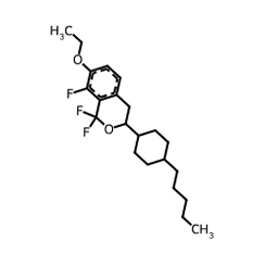 CCCCCC1CCC(C2Cc3ccc(OCC)c(F)c3C(F)(F)O2)CC1